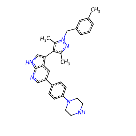 Cc1cccc(Cn2nc(C)c(-c3c[nH]c4ncc(-c5ccc(N6CCNCC6)cc5)cc34)c2C)c1